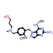 CCCCNc1nc(N)nc2cnn(Cc3ccc(CN(C)CCCO)cc3OC)c12